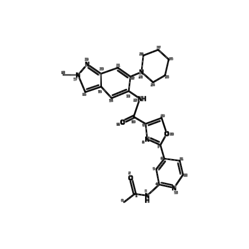 CC(=O)Nc1cc(-c2nc(C(=O)Nc3cc4cn(C)nc4cc3N3CCCCC3)co2)ccn1